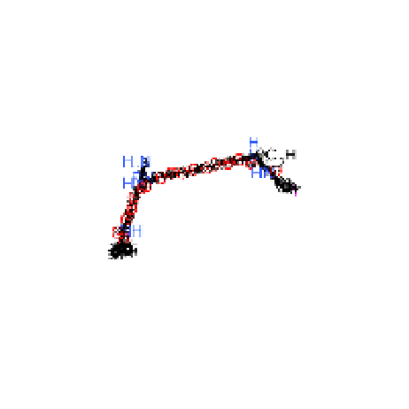 NCCCCC(NC(=O)CCOCCOCCOCCNC(=O)OCC1c2ccccc2-c2ccccc21)C(=O)NCCOCCOCCOCCOCCOCCOCCOCCOCCC(=O)N[C@@H](CCCCNC(=O)CCCc1ccc(I)cc1)C(=O)O